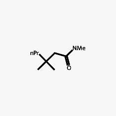 CCCC(C)(C)CC(=O)NC